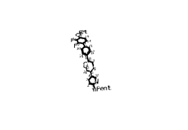 CCCCCc1ccc(C2CCC(c3ccc(-c4ccc(OCC)c(F)c4F)cc3)OC2)cn1